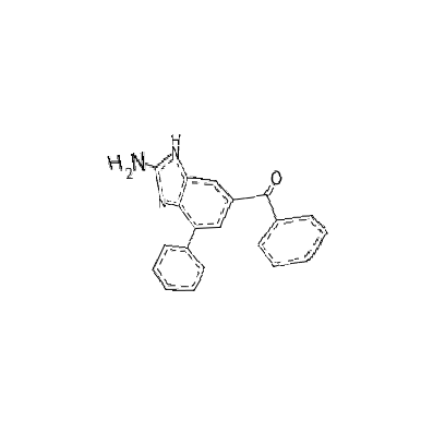 Nc1nc2c(-c3ccccc3)cc(C(=O)c3ccccc3)cc2[nH]1